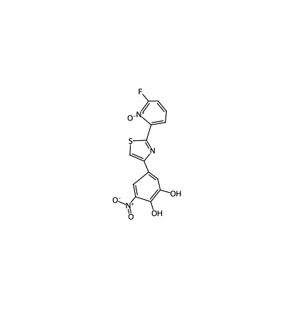 O=[N+]([O-])c1cc(-c2csc(-c3cccc(F)[n+]3[O-])n2)cc(O)c1O